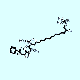 CCCC[C@@H](C(=O)O)N(CCCCCCCCCCCCCC(COC(C)(C)CC)C(C)=O)C(=O)[C@H](C)NC(=O)[C@@H](NC(=O)c1ccccc1)C(C)C